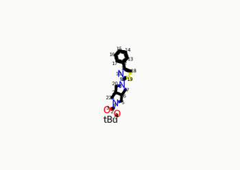 CC(C)(C)OC(=O)N1CC2CN(c3nc(-c4ccccc4)cs3)CC2C1